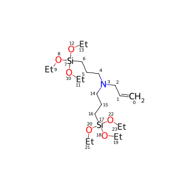 C=CCN(CCC[Si](OCC)(OCC)OCC)CCC[Si](OCC)(OCC)OCC